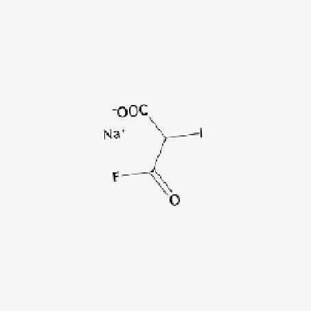 O=C([O-])C(I)C(=O)F.[Na+]